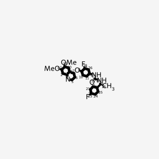 COc1cc2nccc(Oc3ccc(NC(=O)N[C@@H](C)c4ccc(F)cc4)cc3F)c2cc1OC